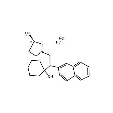 Cl.Cl.N[C@@H]1CCN(CC(c2ccc3ccccc3c2)C2(O)CCCCC2)C1